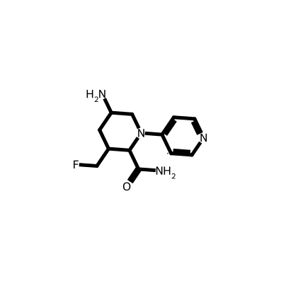 NC(=O)C1C(CF)CC(N)CN1c1[c]cncc1